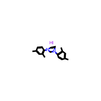 Cc1ccc(N2C=CN(c3ccc(C)cc3C)C2)c(C)c1.I